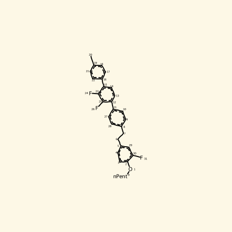 CCCCCOc1ccc(CCc2ccc(-c3ccc(-c4ccc(C)cc4)c(F)c3F)cc2)cc1F